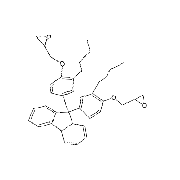 CCCCc1cc(C2(c3ccc(OCC4CO4)c(CCCC)c3)c3ccccc3C3C=CC=CC32)ccc1OCC1CO1